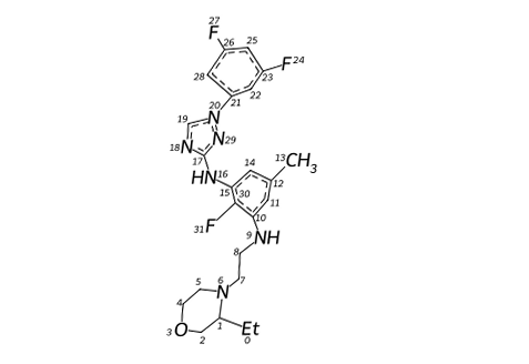 CCC1COCCN1CCNc1cc(C)cc(Nc2ncn(-c3cc(F)cc(F)c3)n2)c1F